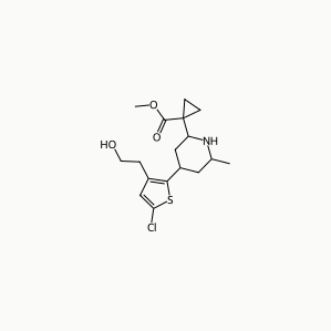 COC(=O)C1(C2CC(c3sc(Cl)cc3CCO)CC(C)N2)CC1